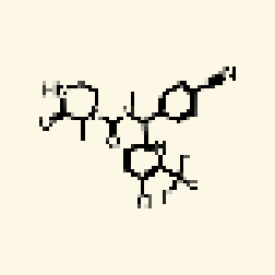 CC1C(=O)NCCN1C(=O)NC(c1ccc(C#N)cc1)c1ccc(Cl)c(C(F)(F)F)n1